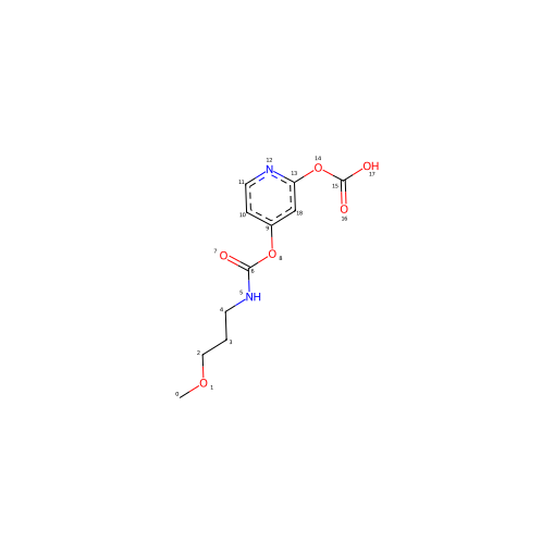 COCCCNC(=O)Oc1ccnc(OC(=O)O)c1